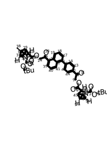 CC(C)(C)OC(=O)N1[C@H](C(=O)OCC(=O)c2ccc(-c3cccc4c(C(=O)COC(=O)[C@@H]5C6[C@@H]7[C@H](N5C(=O)OC(C)(C)C)[C@]67C)cccc34)cc2)C2[C@@H]3[C@H]1[C@]23C